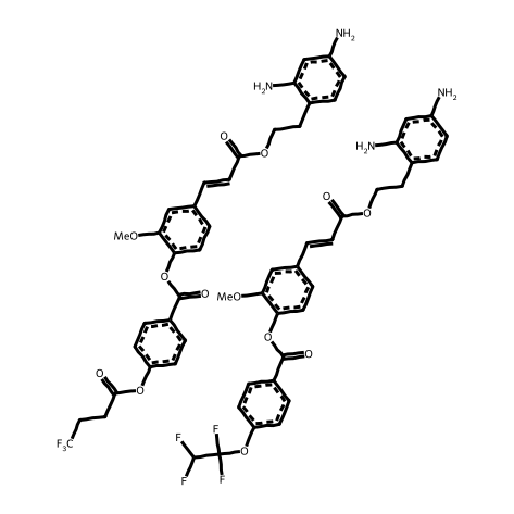 COc1cc(/C=C/C(=O)OCCc2ccc(N)cc2N)ccc1OC(=O)c1ccc(OC(=O)CCC(F)(F)F)cc1.COc1cc(/C=C/C(=O)OCCc2ccc(N)cc2N)ccc1OC(=O)c1ccc(OC(F)(F)C(F)F)cc1